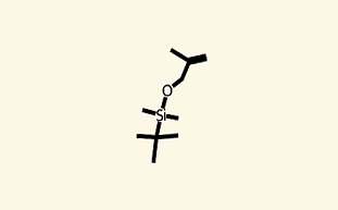 C=C(C)CO[Si](C)(C)C(C)(C)C